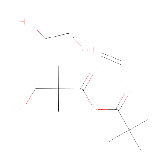 C=C.CC(C)(C)C(=O)OC(=O)C(C)(C)CO.OCCO